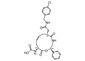 O=C(O)N[C@H]1CC=CC[C@@H](CC(=O)NCc2ccc(Cl)cc2)C(=O)NC[C@@H](c2ccccc2)OC1=O